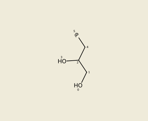 OCC(O)C[P]